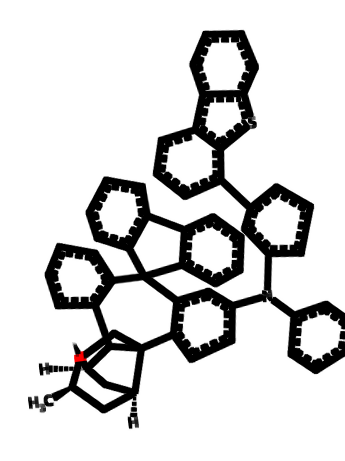 C[C@@H]1C[C@H]2C[C@H]3CC1CC21c2ccc(N(c4ccccc4)c4cccc(-c5cccc6c5sc5ccccc56)c4)cc2C2(c4ccccc4-c4ccccc42)c2ccccc2C31